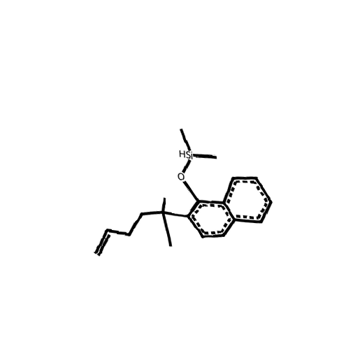 C=CCCC(C)(C)c1ccc2ccccc2c1O[SiH](C)C